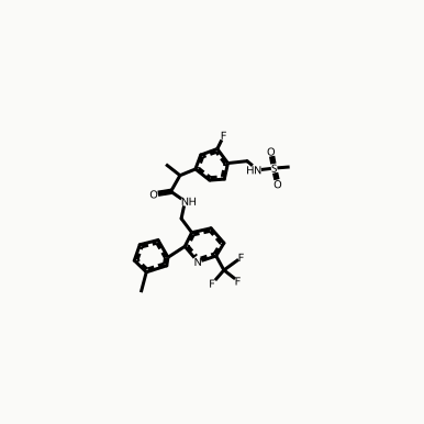 Cc1cccc(-c2nc(C(F)(F)F)ccc2CNC(=O)C(C)c2ccc(CNS(C)(=O)=O)c(F)c2)c1